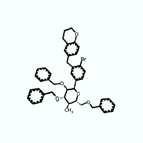 C[C@H]1[C@H](OCc2ccccc2)[C@@H](OCc2ccccc2)C(c2ccc(Br)c(Cc3ccc4c(c3)CCCO4)c2)O[C@@H]1COCc1ccccc1